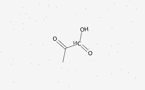 CC(=O)[14C](=O)O